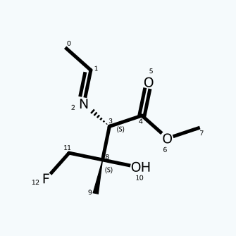 CC=N[C@H](C(=O)OC)[C@](C)(O)CF